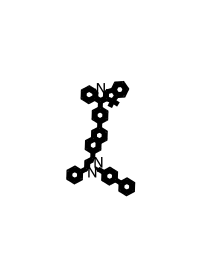 CC1(C)c2ccccc2-c2nc3ccccc3c(-c3ccc(-c4ccc5cc(-c6cc(-c7ccccc7)nc(-c7ccc(-c8ccccc8)cc7)n6)ccc5c4)cc3)c21